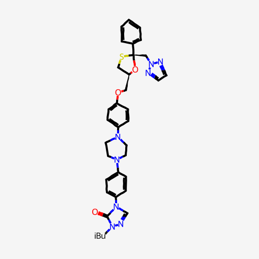 CCC(C)n1ncn(-c2ccc(N3CCN(c4ccc(OC[C@H]5CS[C@](Cn6nccn6)(c6ccccc6)O5)cc4)CC3)cc2)c1=O